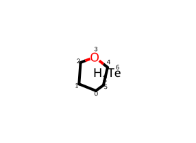 C1CCOCC1.[TeH2]